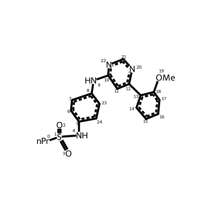 CCCS(=O)(=O)Nc1ccc(Nc2cc(-c3ccccc3OC)ncn2)cc1